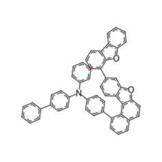 c1ccc(-c2ccc(N(c3ccccc3)c3ccc(-c4cccc5ccc6oc7cc(-c8cccc9c8oc8ccccc89)ccc7c6c45)cc3)cc2)cc1